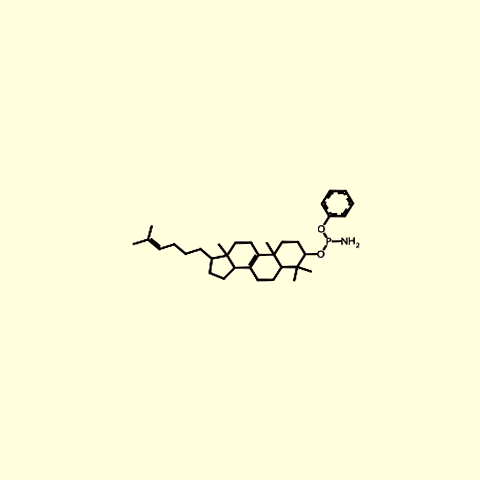 CC(C)=CCCCC1CCC2C3=C(CCC12C)C1(C)CCC(OP(N)Oc2ccccc2)C(C)(C)C1CC3